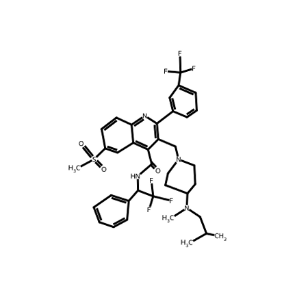 CC(C)CN(C)C1CCN(Cc2c(-c3cccc(C(F)(F)F)c3)nc3ccc(S(C)(=O)=O)cc3c2C(=O)NC(c2ccccc2)C(F)(F)F)CC1